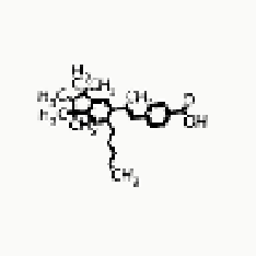 CCCCCc1cc2c(cc1C(C)=Cc1ccc(C(=O)O)cc1)C(C)(C)C(C)C2(C)C